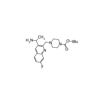 CC(N)c1cc2ccc(F)cc2nc1CN1CCN(C(=O)OC(C)(C)C)CC1